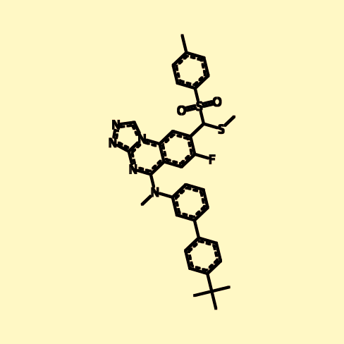 CSC(c1cc2c(cc1F)c(N(C)c1cccc(-c3ccc(C(C)(C)C)cc3)c1)nc1nncn12)S(=O)(=O)c1ccc(C)cc1